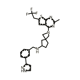 Cc1nc(N2CC3(CCC(NCc4cccc(-c5cc[nH]n5)c4)C3)C2)c2cc(CC(F)(F)F)sc2n1